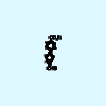 CCOC(=O)c1cnc(N2CC3C(C=O)C3C2)nc1